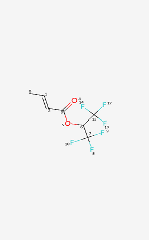 CC=CC(=O)OC(C(F)(F)F)C(F)(F)F